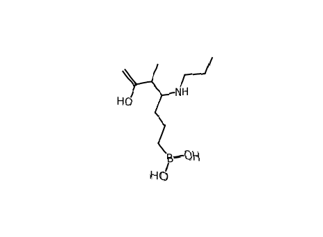 C=C(O)C(C)C(CCCB(O)O)NCCC